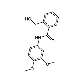 COc1ccc(NC(=O)c2ccccc2CO)cc1OC